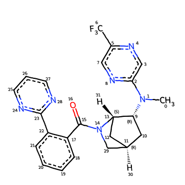 CN(c1cnc(C(F)(F)F)cn1)[C@@H]1C[C@@H]2C[C@@H]1N(C(=O)c1ccccc1-c1ncccn1)C2